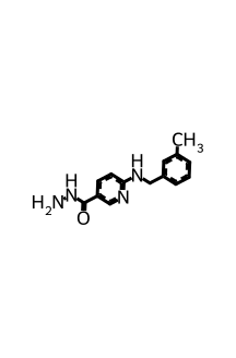 Cc1cccc(CNc2ccc(C(=O)NN)cn2)c1